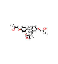 CC(O)COc1ccc(C(C)(C)c2ccc(OCC(C)O)cc2)cc1.CC1=COC1=O